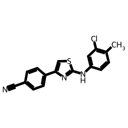 Cc1ccc(Nc2nc(-c3ccc(C#N)cc3)cs2)cc1Cl